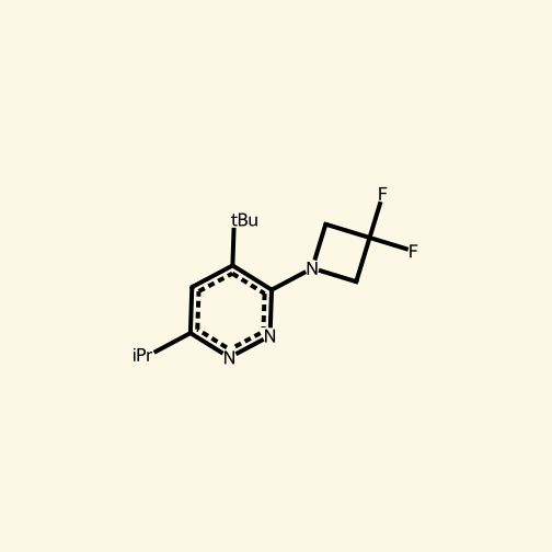 CC(C)c1cc(C(C)(C)C)c(N2CC(F)(F)C2)nn1